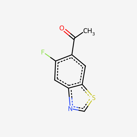 CC(=O)c1cc2scnc2cc1F